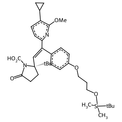 COc1nc(C(=C[C@@]2(C(C)(C)C)CCC(=O)N2C(=O)O)c2ccc(OCCCO[Si](C)(C)C(C)(C)C)cc2)ccc1C1CC1